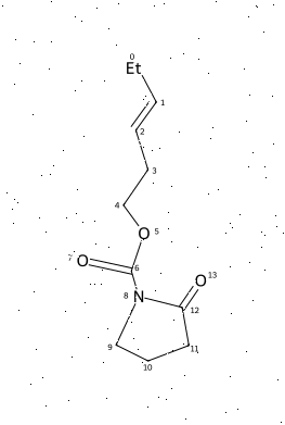 CCC=CCCOC(=O)N1CCCC1=O